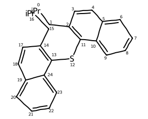 CC(C)Cc1ccc2ccccc2c1Sc1c(CC(C)C)ccc2ccccc12